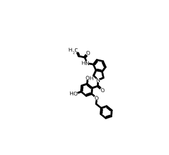 C=CC(=O)Nc1cccc2c1CN(C(=O)c1c(O)cc(O)cc1OCc1ccccc1)C2